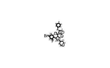 O=C1OC[C@H](Cc2ccccc2)N1C(=O)C1CN(C2CCOCC2)CC1c1ccc(Br)cc1F